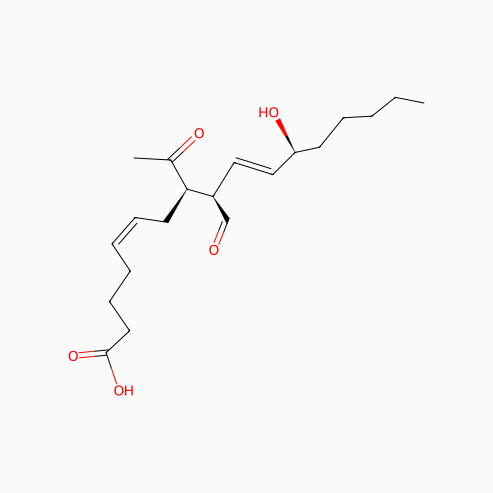 CCCCC[C@H](O)/C=C/[C@@H](C=O)[C@@H](C/C=C\CCCC(=O)O)C(C)=O